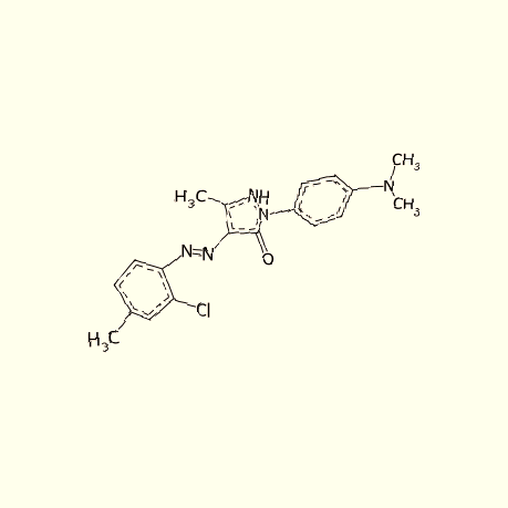 Cc1ccc(N=Nc2c(C)[nH]n(-c3ccc(N(C)C)cc3)c2=O)c(Cl)c1